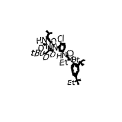 CCC(Oc1ccc(C(C)(C)CC)cc1C(C)(C)CC)C(=O)Nc1ccc(Cl)c(NC(=O)C(C(=O)C(C)(C)C)N2C(=O)NC(=C(C)C)C2=O)c1